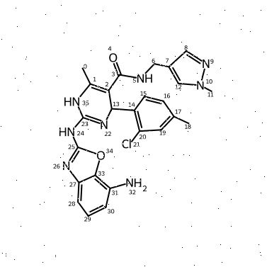 CC1=C(C(=O)NCc2cnn(C)c2)C(c2ccc(C)cc2Cl)N=C(Nc2nc3cccc(N)c3o2)N1